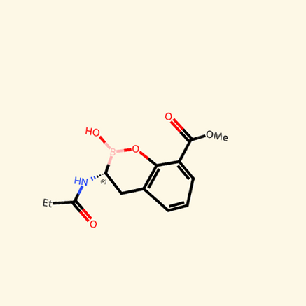 CCC(=O)N[C@H]1Cc2cccc(C(=O)OC)c2OB1O